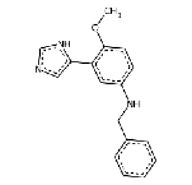 COc1ccc(NCc2ccccc2)cc1-c1cnc[nH]1